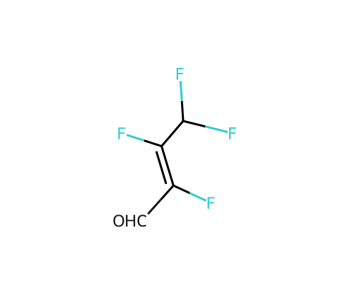 O=C/C(F)=C(\F)C(F)F